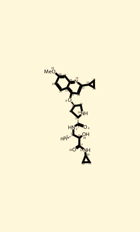 CCC[C@H](NC(=O)[C@@H]1C[C@@H](Oc2cc(C3CC3)nc3cc(OC)ccc23)CN1)C(O)C(=O)NC1CC1